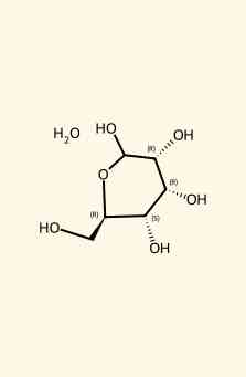 O.OC[C@H]1OC(O)[C@H](O)[C@H](O)[C@@H]1O